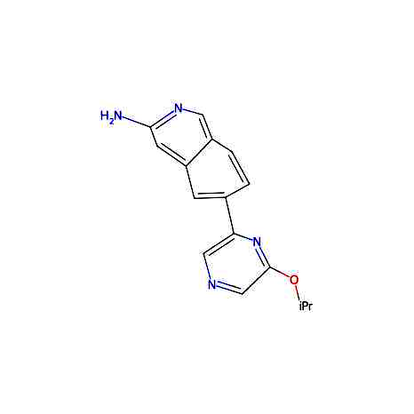 CC(C)Oc1cncc(-c2ccc3cnc(N)cc3c2)n1